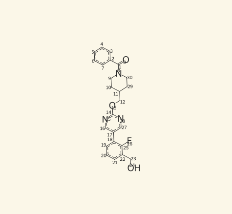 O=C(c1ccccc1)N1CCC(COc2ncc(-c3cccc(CO)c3F)cn2)CC1